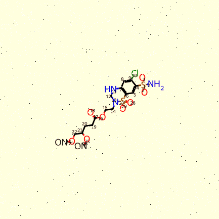 NS(=O)(=O)c1cc2c(cc1Cl)NCN(CCOC(=O)CCC(CON=O)ON=O)S2(=O)=O